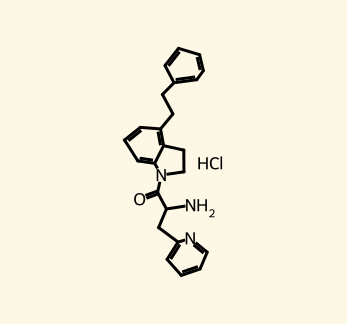 Cl.NC(Cc1ccccn1)C(=O)N1CCc2c(CCc3ccccc3)cccc21